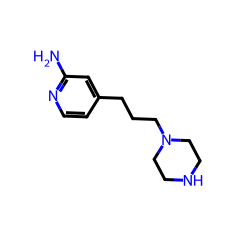 Nc1cc(CCCN2CCNCC2)ccn1